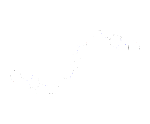 O=C(NC1CC2(C1)CC(NC(=O)O[C@@H]1CCN(c3cnn(C4CCCCO4)c(=O)c3Cl)C1)C2)O[C@@H]1CCN(c2cnn(C3CCCCO3)c(=O)c2Cl)C1